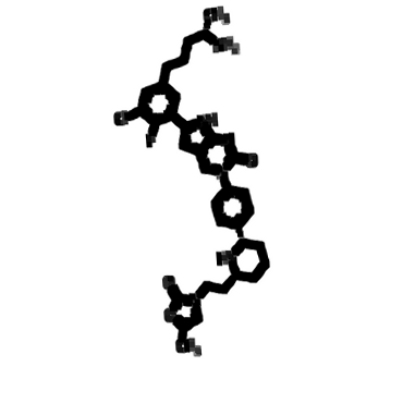 Cc1cn(CC[C@@H]2CCC[C@@H](c3ccc(-n4cc5cc(-c6cc(CCC[C@H](C)N)cc(Cl)c6F)[nH]c5nc4=O)cc3)N2)c(=O)o1